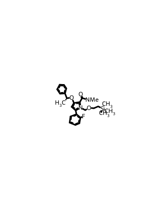 CNC(=O)c1c(O[C@@H](C)c2ccccc2)cc(-c2ccccc2F)n1COCC[Si](C)(C)C